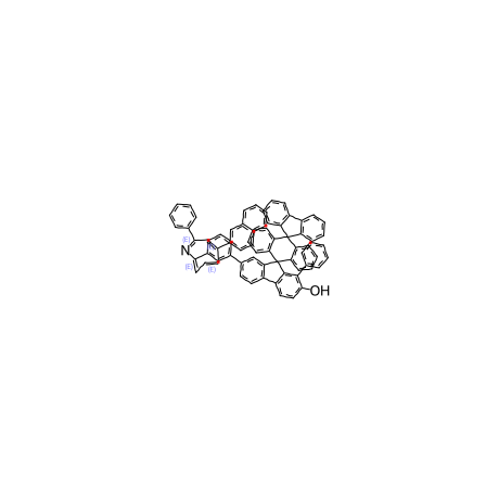 Oc1ccc2c(c1-c1ccccc1)C1(c3cc(-c4cccc(C5=C\C=C\C(c6ccc7ccccc7c6)=C/C(c6ccccc6)=N\5)c4)ccc3-2)c2ccccc2C2(c3ccccc3-c3ccccc32)c2ccccc21